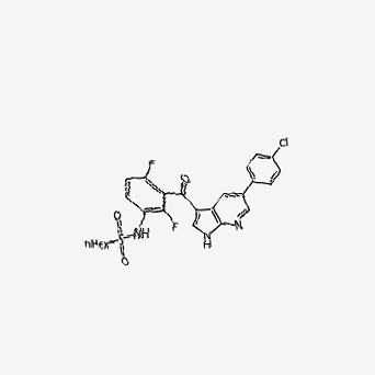 CCCCCCS(=O)(=O)Nc1ccc(F)c(C(=O)c2c[nH]c3ncc(-c4ccc(Cl)cc4)cc23)c1F